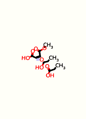 CCC(=O)O.CCC(=O)O.COC(=O)/C=C\C(=O)O